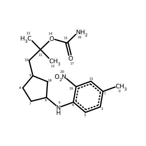 Cc1ccc(NC2CCC(CC(C)(C)OC(N)=O)C2)c([N+](=O)[O-])c1